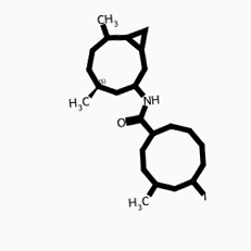 CC1CCC(C(=O)NC2CC3CC3C(C)CC[C@H](C)C2)CCCCC(I)C1